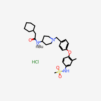 CCCCN(C(=O)CC1CCCCC1)C1CCN(Cc2ccc(Oc3ccc(NS(C)(=O)=O)cc3C)cc2)CC1.Cl